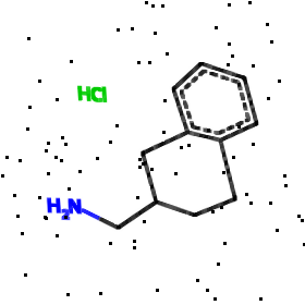 Cl.NCC1CCc2ccccc2C1